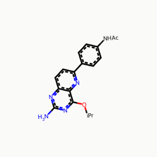 CC(=O)Nc1ccc(-c2ccc3nc(N)nc(OC(C)C)c3n2)cc1